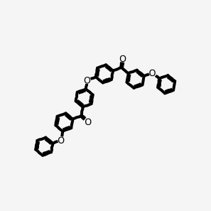 O=C(c1ccc(Oc2ccc(C(=O)c3cccc(Oc4ccccc4)c3)cc2)cc1)c1cccc(Oc2ccccc2)c1